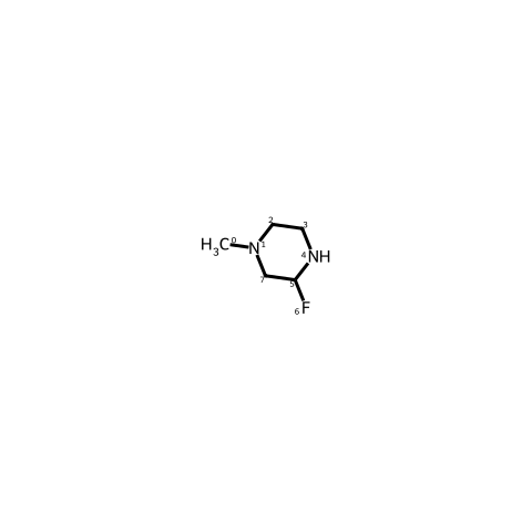 CN1CCNC(F)C1